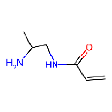 C=CC(=O)NCC(C)N